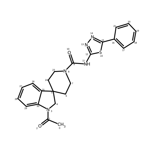 CC(=O)N1CC2(CCN(C(=O)Nc3nnc(-c4ccccc4)s3)CC2)c2ccccc21